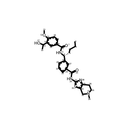 CCCC[C@@H](NC(=O)c1ccc(OC)c(C(C)O)c1)c1cccc(C(=O)Nc2nc3c(s2)CN(C)CC3)c1